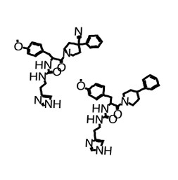 COc1ccc(CC(NC(=O)NCCc2c[nH]cn2)C(=O)N2CCC(C#N)(c3ccccc3)CC2)cc1.COc1ccc(CC(NC(=O)NCCc2c[nH]cn2)C(=O)N2CCC(c3ccccc3)CC2)cc1